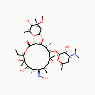 CC[C@H]1OC(=O)[C@H](C)[C@@H](O[C@H]2C[C@@](C)(OC)[C@@H](O)[C@H](C)O2)[C@H](C)[C@@H](O[C@@H]2O[C@H](C)C[C@H](N(C)C)[C@H]2O)C(C)(O)C[C@@H](C)/C(=N\O)[C@H](C)[C@@H](O)[C@]1(C)O